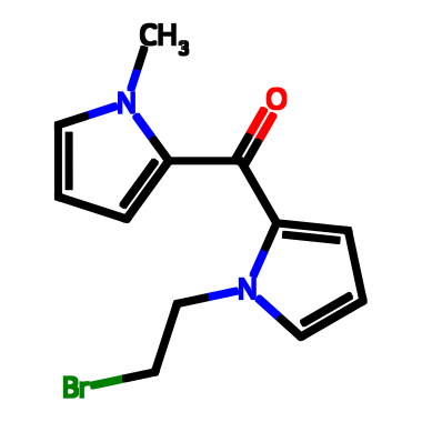 Cn1cccc1C(=O)c1cccn1CCBr